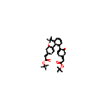 CC(C)(C)OC(=O)C=C1CC=C(c2[c]ccc(C(C)(C)C)c2C2=CCC(=CC(=O)OC(C)(C)C)CC2=O)C(=O)C1